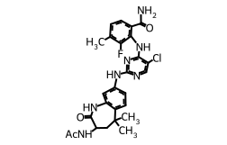 CC(=O)NC1CC(C)(C)c2ccc(Nc3ncc(Cl)c(Nc4c(C(N)=O)ccc(C)c4F)n3)cc2NC1=O